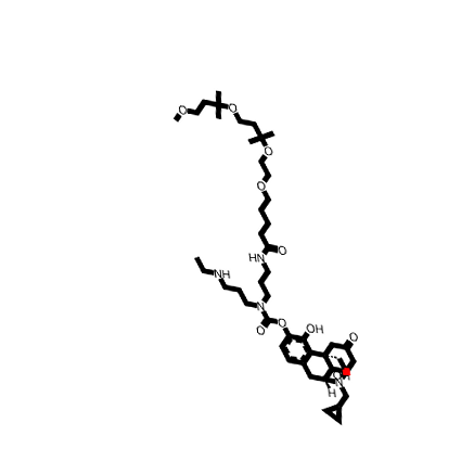 CCNCCCN(CCCNC(=O)CCCCOCCOC(C)(C)CCOC(C)(C)CCOC)C(=O)Oc1ccc2c(c1O)[C@]13CCN(CC4CC4)[C@H](C2)[C@]1(O)CCC(=O)C3